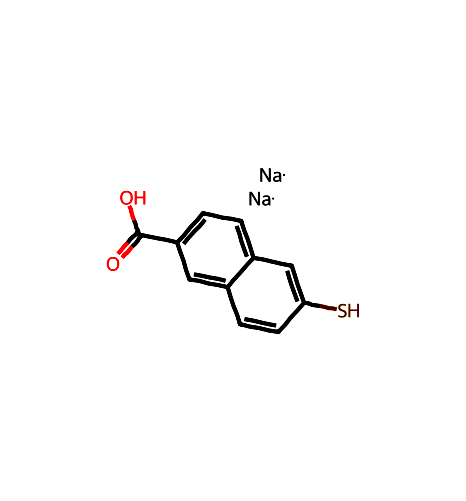 O=C(O)c1ccc2cc(S)ccc2c1.[Na].[Na]